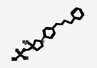 N[C@]1(COP(=O)(O)O)CC[C@@H](c2ccc(CCCCc3ccccc3)cc2)C1